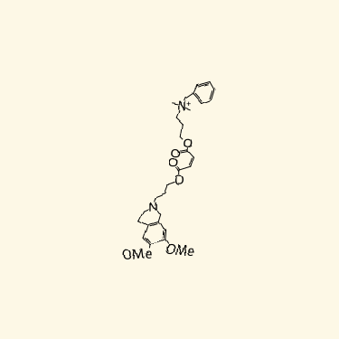 COc1cc2c(cc1OC)CN(CCCOC(=O)/C=C\C(=O)OCCC[N+](C)(C)Cc1ccccc1)CC2